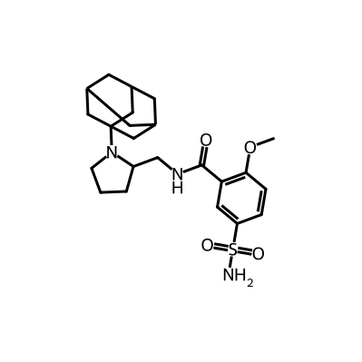 COc1ccc(S(N)(=O)=O)cc1C(=O)NCC1CCCN1C12CC3CC(CC(C3)C1)C2